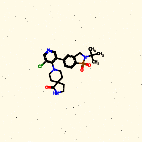 CC(C)(C)N1Cc2cc(-c3cncc(Cl)c3N3CCC4(CCNC4=O)CC3)ccc2S1(=O)=O